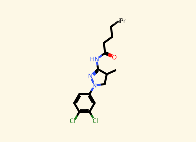 CC(C)CCCC(=O)NC1=NN(c2ccc(Cl)c(Cl)c2)CC1C